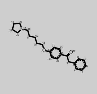 O=C(Cc1ccccc1)c1ccc(OCCCCCN2CCCC2)cc1